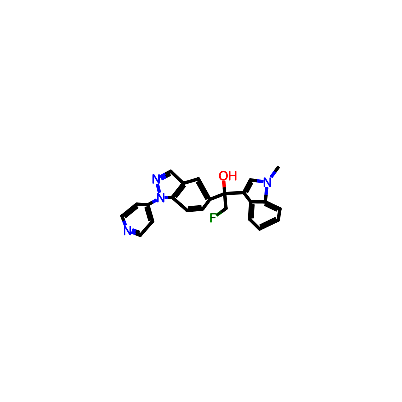 Cn1cc(C(O)(CF)c2ccc3c(cnn3-c3ccncc3)c2)c2ccccc21